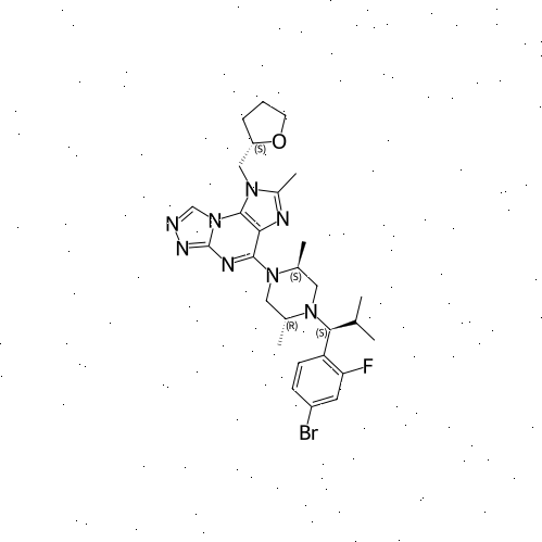 Cc1nc2c(N3C[C@@H](C)N([C@H](c4ccc(Br)cc4F)C(C)C)C[C@@H]3C)nc3nncn3c2n1C[C@@H]1CCCO1